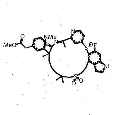 CN/N=C1\N=C(/C)c2cc(ccn2)[S+]([O-])c2c(F)cc3[nH]ccc3c2CCS(=O)(=O)CC(C)(C)CCC[C@]1(C)c1cccc(CC(=O)OC)c1